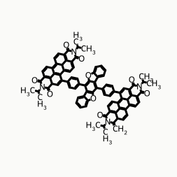 C=C1C2C=CC3=c4c2c(ccc4=C2C(c4ccc(-c5c6oc7ccccc7c6c(-c6ccc(C7=CC8C(=O)N(C(C)C)C(=O)c9ccc%10c(c98)=C7C7=CC=C8C(=O)N(C(C)C)C(=O)C9=C8C7C=%10C=C9)cc6)c6oc7ccccc7c56)cc4)=CC4=C5C(=CC=C3C52)C(=O)N(C(C)C)C4=O)C(=O)N1C(C)C